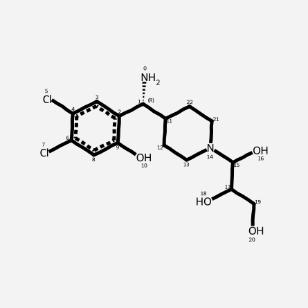 N[C@@H](c1cc(Cl)c(Cl)cc1O)C1CCN(C(O)C(O)CO)CC1